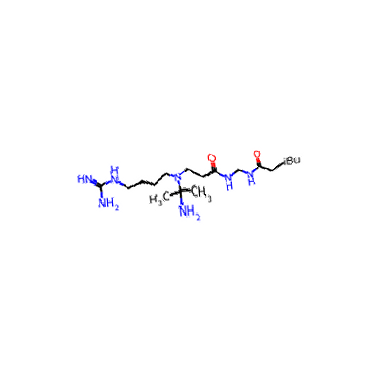 CCC(C)CC(=O)NCNC(=O)CCN(CCCCNC(=N)N)C(C)(C)N